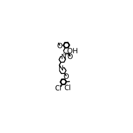 COc1ccccc1C[C@@H](C(=O)O)N1CCC(CN2CCC(Oc3ccc(Cl)c(Cl)c3C)CC2)CC1